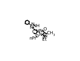 CCCOc1ccc(-c2nc(-c3ccccc3)n[nH]2)cc1-c1nc2c(c(C)nn2CC)c(=O)[nH]1